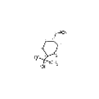 CC(C)(O)C1CC[C@H](CC#N)CO1